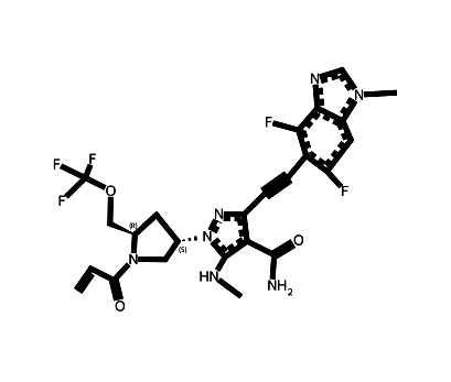 C=CC(=O)N1C[C@@H](n2nc(C#Cc3c(F)cc4c(ncn4C)c3F)c(C(N)=O)c2NC)C[C@@H]1COC(F)(F)F